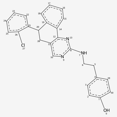 Oc1ccc(CCNc2ncc3c(n2)-c2ccccc2C(c2ccccc2Cl)C3)cc1